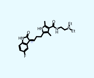 CCN(CC)CCNC(=O)c1c(C)[nH]c(CC/C=C2\C(=O)Nc3ccc(F)cc32)c1C